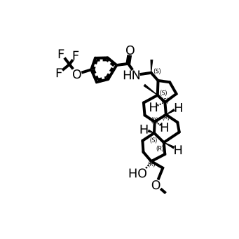 COC[C@@]1(O)CC[C@H]2[C@H](CC[C@@H]3[C@@H]2CC[C@]2(C)C([C@H](C)NC(=O)c4ccc(OC(F)(F)F)cc4)CC[C@@H]32)C1